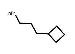 CCCCCCC1C[CH]C1